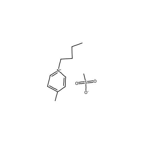 CCCC[n+]1ccc(C)cc1.CS(=O)(=O)[O-]